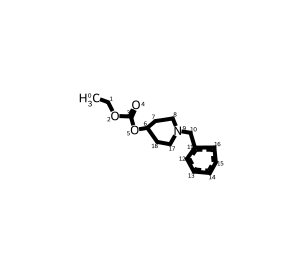 CCOC(=O)OC1CCN(Cc2ccccc2)CC1